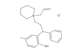 C=CC[N+]1(CCC(c2ccccc2)c2cc(C)ccc2O)CCCCC1.[Cl-]